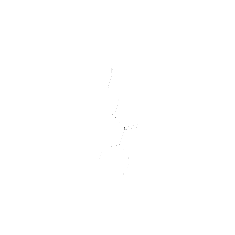 CNCCNC(=O)C(OC)OC